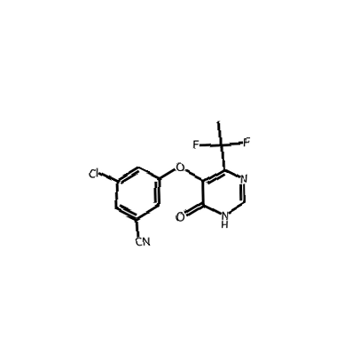 CC(F)(F)c1nc[nH]c(=O)c1Oc1cc(Cl)cc(C#N)c1